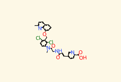 Cc1ccc2cccc(OCc3c(Cl)ccc(N(C)C(=O)CNC(=O)/C=C/c4ccc(C(=O)O)nc4)c3Cl)c2n1